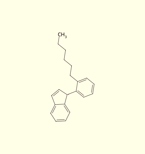 CCCCCCc1ccccc1[C]1C=Cc2ccccc21